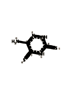 Nc1n[nH]c(=S)[nH]c1=S